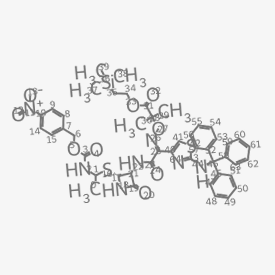 CC(NC(=O)OCc1ccc([N+](=O)[O-])cc1)S[C@H]1NC(=O)[C@H]1NC(=O)C(=NOC(C)(C)C(=O)OCC[Si](C)(C)C)c1csc(NC(c2ccccc2)(c2ccccc2)c2ccccc2)n1